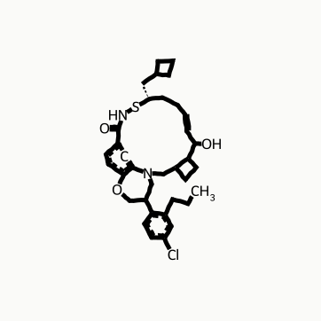 CCCc1cc(Cl)ccc1C1COc2ccc3cc2N(C1)CC1CCC1C(O)/C=C/CC[C@@H](CC1CCC1)SNC3=O